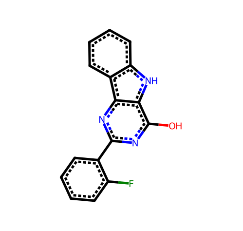 Oc1nc(-c2ccccc2F)nc2c1[nH]c1ccccc12